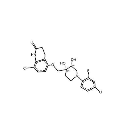 O=C1CCc2c(OC[C@]3(O)CCN(c4ccc(Cl)cc4F)C[C@H]3O)ccc(Cl)c2N1